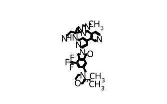 CC(C)[C@H]1COCCN1Cc1cc2c(c(C(F)(F)F)c1)CN(c1cc(-c3cnccc3-c3nncn3C)cc(NC3(CC#N)CC3)n1)C2=O